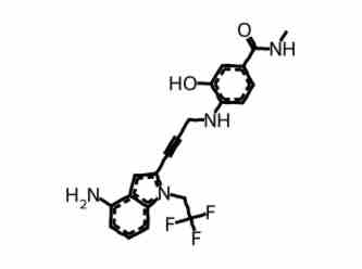 CNC(=O)c1ccc(NCC#Cc2cc3c(N)cccc3n2CC(F)(F)F)c(O)c1